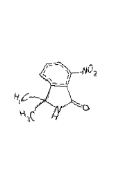 CC1(C)NC(=O)c2c([N+](=O)[O-])cccc21